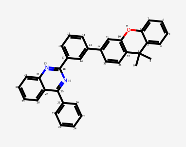 CC1(C)c2ccccc2Oc2cc(-c3cccc(-c4nc(-c5ccccc5)c5ccccc5n4)c3)ccc21